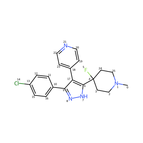 CN1CCC(F)(c2[nH]nc(-c3ccc(Cl)cc3)c2-c2ccncc2)CC1